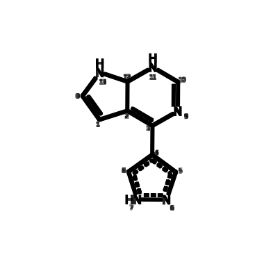 C1=CC2=C(c3cn[nH]c3)N=CNC2N1